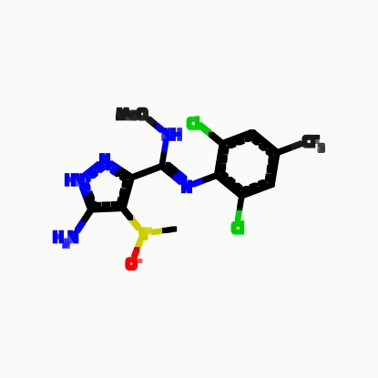 CONC(=Nc1c(Cl)cc(C(F)(F)F)cc1Cl)c1n[nH]c(N)c1[S+](C)[O-]